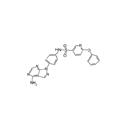 Nc1ncnc2c1cnn2-c1ccc(NS(=O)(=O)c2ccc(Oc3ccccc3)nc2)cc1